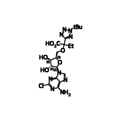 CCC(OC[C@H]1O[C@@H](n2cnc3c(N)nc(Cl)nc32)[C@H](O)[C@H]1O)(C(=O)O)c1nnn(C(C)(C)C)n1